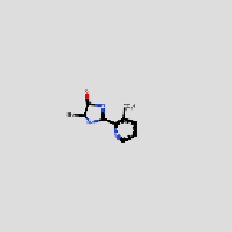 CCC(C)C1NC(c2ncccc2C(=O)O)=NC1=O